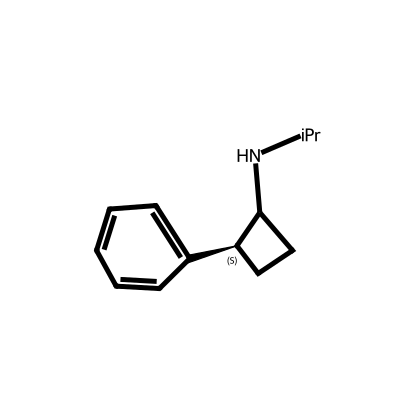 CC(C)NC1CC[C@H]1c1ccccc1